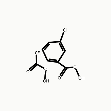 O=C(OO)C(F)(F)F.O=C(OO)c1cccc(Cl)c1